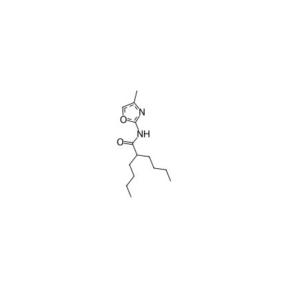 CCCCC(CCCC)C(=O)Nc1nc(C)co1